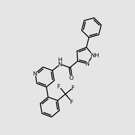 O=C(Nc1cncc(-c2ccccc2C(F)(F)F)c1)c1cc(-c2ccccc2)[nH]n1